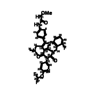 CONC(=O)Nc1ccc(-c2sc3c(c2CN(C)C)c(=O)n(-c2ccc(OC(F)F)nc2)c(=O)n3Cc2c(F)cccc2F)cc1